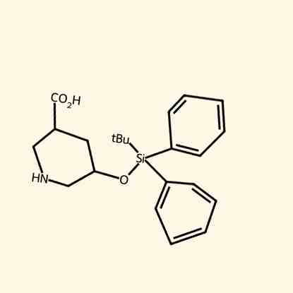 CC(C)(C)[Si](OC1CNCC(C(=O)O)C1)(c1ccccc1)c1ccccc1